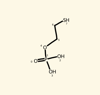 O=P(O)(O)OCCS